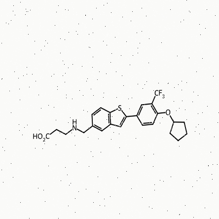 O=C(O)CCNCc1ccc2sc(-c3ccc(OC4CCCC4)c(C(F)(F)F)c3)cc2c1